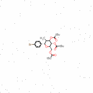 C[C@H]1[C@@H](OC(=O)C(C)(C)C)[C@H](OC(=O)C(C)(C)C)[C@@H](COC(=O)C(C)(C)C)O[C@@H]1c1ccc(Br)cc1